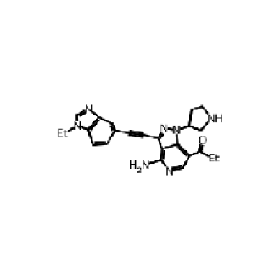 CCC(=O)c1cnc(N)c2c(C#Cc3ccc4c(c3)ncn4CC)nn(C3CCNC3)c12